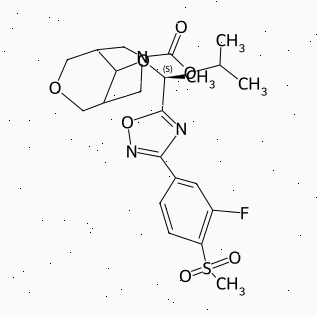 CC(C)OC(=O)N1CC2COCC(C1)C2O[C@@H](C)c1nc(-c2ccc(S(C)(=O)=O)c(F)c2)no1